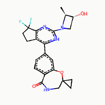 C[C@H]1[C@H](O)CN1c1nc(-c2ccc3c(c2)OC2(CC2)CNC3=O)c2c(n1)C(F)(F)CC2